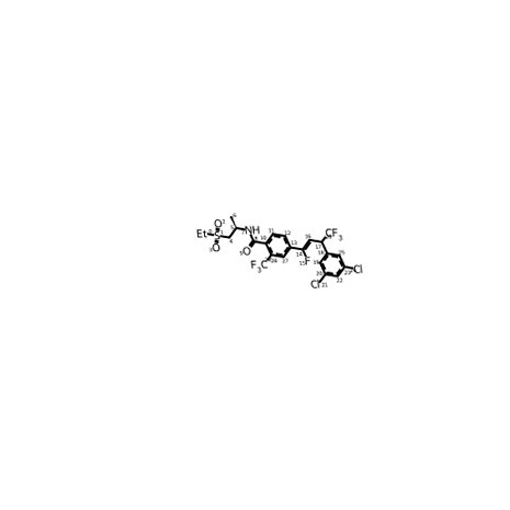 CCS(=O)(=O)C[C@@H](C)NC(=O)c1ccc(/C(F)=C/C(c2cc(Cl)cc(Cl)c2)C(F)(F)F)cc1C(F)(F)F